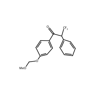 COCOc1ccc(C(=O)C(c2ccccc2)C(F)(F)F)cc1